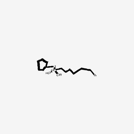 CC(C)CCCCCCC[PH](O)(O)Oc1ccccc1